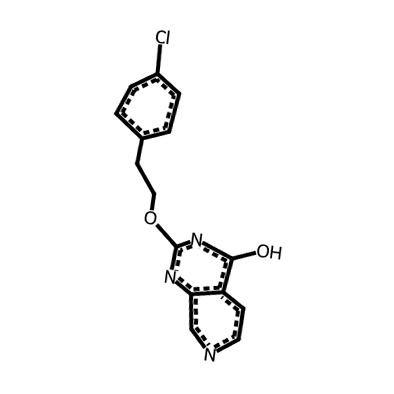 Oc1nc(OCCc2ccc(Cl)cc2)nc2cnccc12